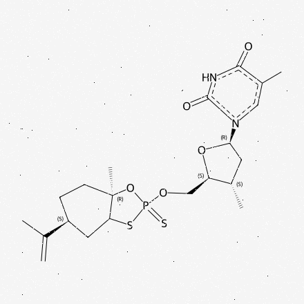 C=C(C)[C@H]1CC[C@@]2(C)OP(=S)(OC[C@H]3O[C@@H](n4cc(C)c(=O)[nH]c4=O)C[C@@H]3C)SC2C1